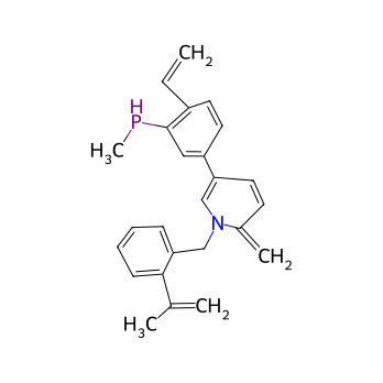 C=Cc1ccc(C2=CN(Cc3ccccc3C(=C)C)C(=C)C=C2)cc1PC